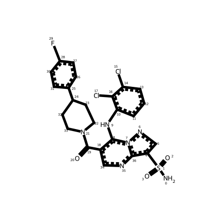 NS(=O)(=O)c1cnn2c(Nc3cccc(Cl)c3Cl)c(C(=O)N3CCC(c4ccc(F)cc4)CC3)cnc12